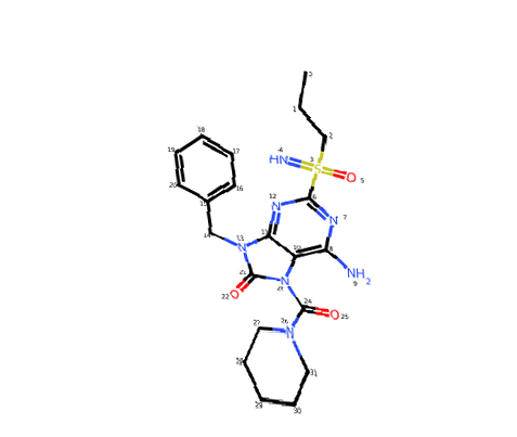 CCCS(=N)(=O)c1nc(N)c2c(n1)n(Cc1ccccc1)c(=O)n2C(=O)N1CCCCC1